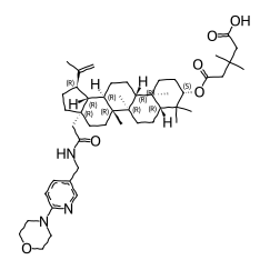 C=C(C)[C@@H]1CC[C@]2(CC(=O)NCc3ccc(N4CCOCC4)nc3)CC[C@]3(C)[C@H](CC[C@@H]4[C@@]5(C)CC[C@H](OC(=O)CC(C)(C)CC(=O)O)C(C)(C)[C@@H]5CC[C@]43C)[C@@H]12